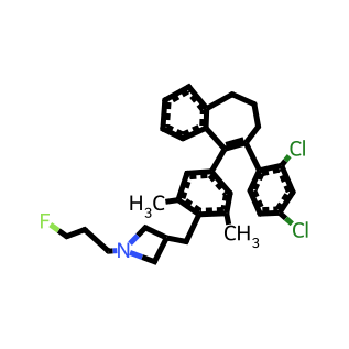 Cc1cc(C2=C(c3ccc(Cl)cc3Cl)CCCc3ccccc32)cc(C)c1CC1CN(CCCF)C1